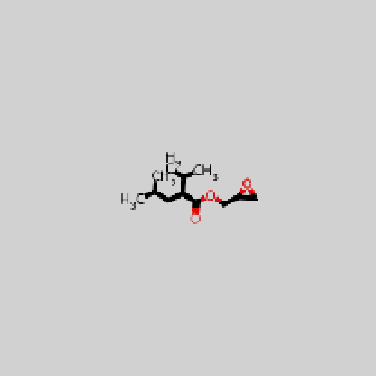 CC(C)CC(C(=O)OCC1CO1)C(C)C